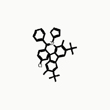 Cc1cc2c(cc1C(C)(C)C)-c1cc(C(C)(C)C)c(C)[c](/[Zr]([C]3=CC=CC3)=[C](/c3ccccc3)c3ccc(Cl)cc3)c1C2